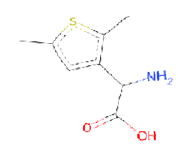 Cc1cc(C(N)C(=O)O)c(C)s1